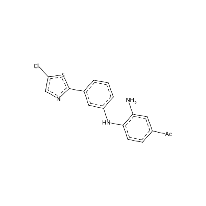 CC(=O)c1ccc(Nc2cccc(-c3ncc(Cl)s3)c2)c(N)c1